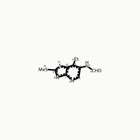 CCc1c(NC=O)cnc2nc(SC)sc12